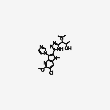 COc1nc2c(-n3ccnc3)c(-c3nnc(C(C(C)O)N(C)C)[nH]3)n(C)c2cc1Cl